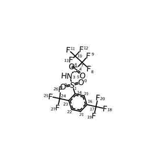 O=S(=O)(NS(=O)(=O)C(F)(F)C(F)(F)F)c1cc(C(F)(F)F)ccc1C(F)(F)F